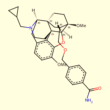 COc1ccc2c3c1O[C@H]1[C@@]4(OC)CC[C@@]5(C[C@@H]4COCc4ccc(C(N)=O)cc4)[C@@H](C2)N(CC2CC2)CC[C@]315